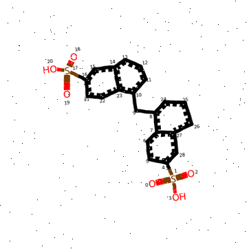 O=S(=O)(O)c1ccc2c(Cc3cccc4cc(S(=O)(=O)O)ccc34)cccc2c1